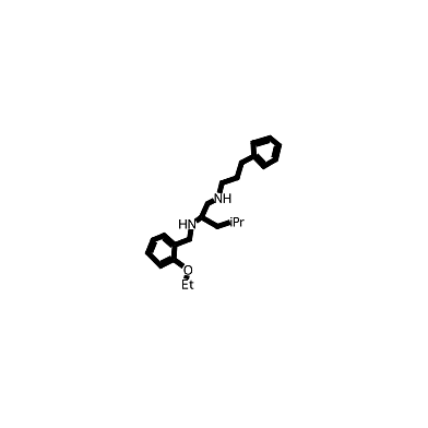 CCOc1ccccc1CNC(CNCCCc1ccccc1)CC(C)C